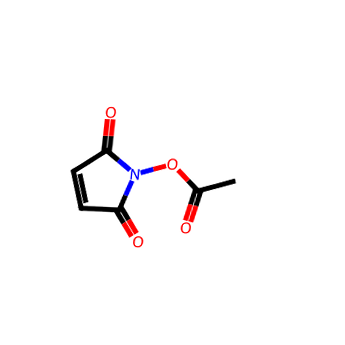 CC(=O)ON1C(=O)C=CC1=O